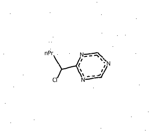 [CH2]CCC(Cl)c1ncncn1